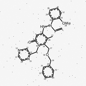 C=CN(Nc1cc(=O)n(Cc2cnccn2)c(COCc2ccccc2)c1C)c1ccccc1OC